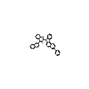 c1ccc(-c2ccc3c(ccc4c3c3ccccc3n4-c3nc(-c4ccc5ccccc5c4)c4ccccc4n3)c2)cc1